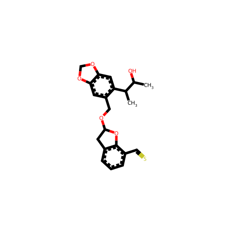 CC(O)C(C)c1cc2c(cc1COC1Cc3cccc(C=S)c3O1)OCO2